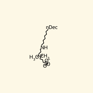 CCCCCCCCCCCCCCCCCCNCCC[N+](C)(C)CCCS(=O)(=O)[O-]